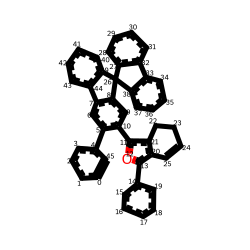 c1cccc(-c2cc3c(cc2-c2oc(-c4ccccc4)c4c2CCC=C4)C2(c4ccccc4-c4ccccc42)c2ccccc2-3)c#1